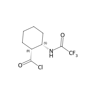 O=C(Cl)[C@@H]1CCCC[C@@H]1NC(=O)C(F)(F)F